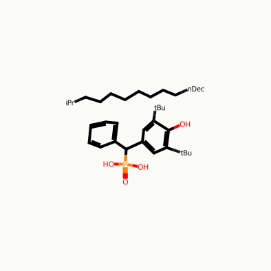 CC(C)(C)c1cc(C(c2ccccc2)P(=O)(O)O)cc(C(C)(C)C)c1O.CCCCCCCCCCCCCCCCCCC(C)C